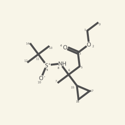 CCOC(=O)CC(C)(N[S+]([O-])C(C)(C)C)C1CC1